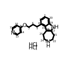 Cl.Cl.c1cc(CCCOc2ccncc2)c2c3c([nH]c2c1)CCNCC3